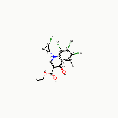 CCOC(=O)c1cn([C@@H]2C[C@@H]2F)c2c(F)c(F)c(F)c(C)c2c1=O